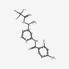 Cc1ccc(C(=O)Nc2cc(C(N)OC(=O)C(F)(F)F)ccn2)c(F)c1